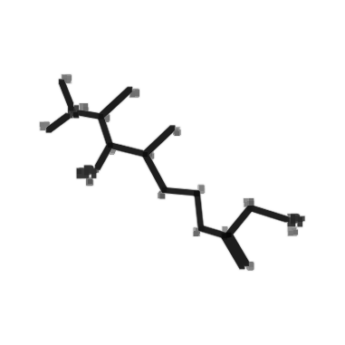 C=C(CCCC(C)C(CCC)C(C)N(C)C)CC(C)C